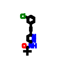 CC(C)(C)C(=O)Nc1ccc(C#Cc2cccc(Cl)c2)nn1